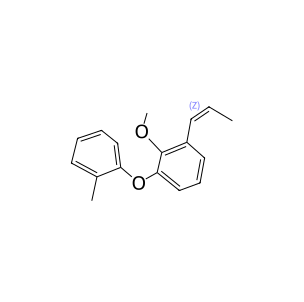 C/C=C\c1cccc(Oc2ccccc2C)c1OC